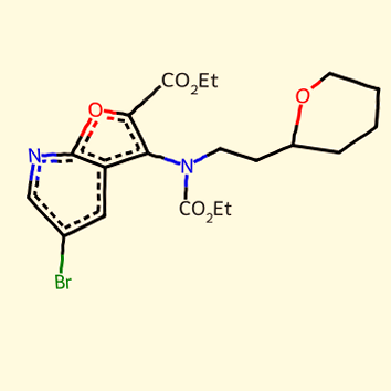 CCOC(=O)c1oc2ncc(Br)cc2c1N(CCC1CCCCO1)C(=O)OCC